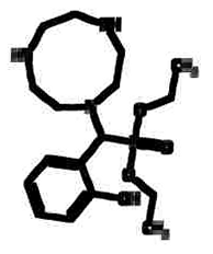 CCOP(=O)(OCC)C(c1ccccc1O)N1CCNCCNCC1